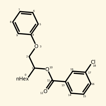 CCCCCCC(COc1ccccc1)OC(=O)c1cccc(Cl)c1